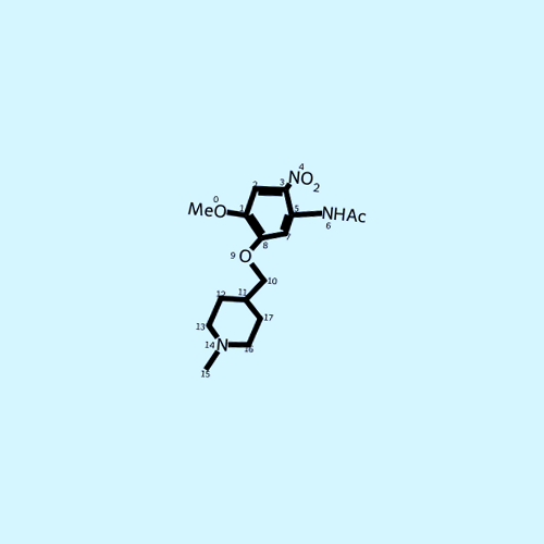 COc1cc([N+](=O)[O-])c(NC(C)=O)cc1OCC1CCN(C)CC1